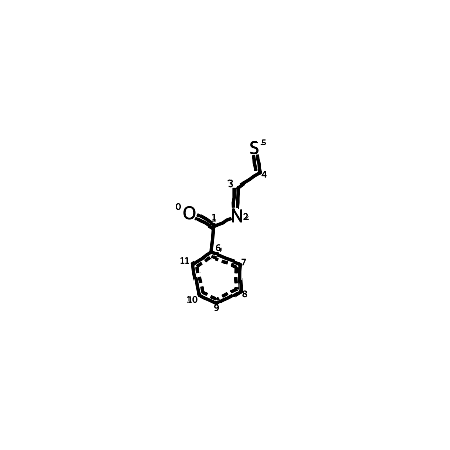 O=C(N=CC=S)c1ccccc1